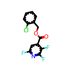 O=C(OCc1ccccc1Cl)c1cc(F)nc(F)c1F